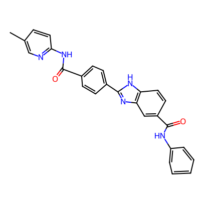 Cc1ccc(NC(=O)c2ccc(-c3nc4cc(C(=O)Nc5ccccc5)ccc4[nH]3)cc2)nc1